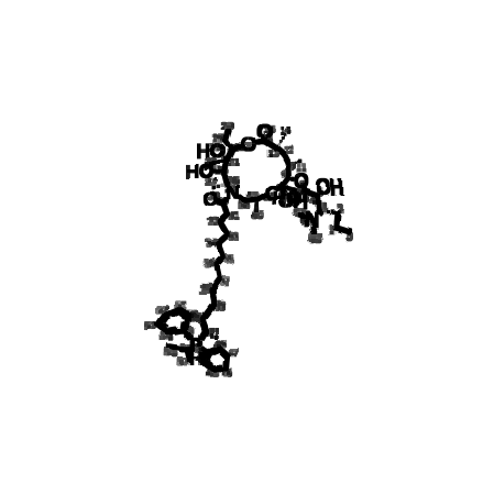 CCC[C@@H]([C@@H](O)[C@@H](O)O[C@@H]1[C@@H](C)C[C@@H](C)C(=O)O[C@H](CC)[C@@](C)(O)[C@H](O)[C@@H](C)N(C(=O)CCCCCCCCCCC[PH](c2ccccc2)(c2ccccc2)C(C)C)C[C@H](C)C[C@@]1(C)O)N(C)C